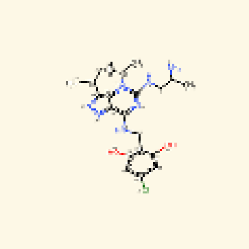 CC(N)CNc1nc(NCc2c(O)cc(Cl)cc2O)c2nnc(C(C)C)c-2n1C(C)C